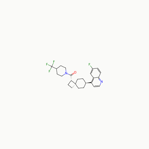 O=C([C@H]1CC[C@]12CC[C@H](c1ccnc3ccc(F)cc31)CC2)N1CCC(C(F)(F)F)CC1